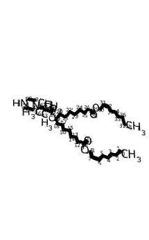 CCCCCC/C=C\COC(=O)CCCCCCCC(CCCCCCCC(=O)OC/C=C\CCCCCC)OC(=O)C(C)(C)C(C)(C)N1CCNCC1